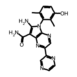 Cc1ccc(O)c(C)c1-n1c(N)c(C(N)=O)c2nc(-c3cnccn3)cnc21